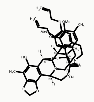 C=CCOc1cc2c(cc1OC)[C@@]1(CS[C@@H]3c4c(O)c(C)c5c(c4[C@H](COC1=O)N1C3[C@@H]3c4c(cc(C)c(OC)c4OCC=C)C[C@H]([C@@H]1C#N)N3C)OCO5)NCC2